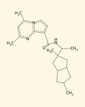 Cc1cc(C)n2ccc(C(=O)NC(C)C3(C)CC4CC(C)CC4C3)c2n1